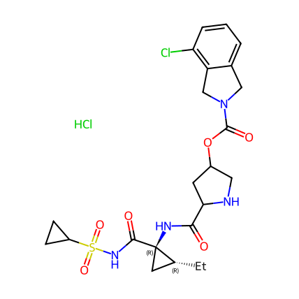 CC[C@@H]1C[C@]1(NC(=O)C1CC(OC(=O)N2Cc3cccc(Cl)c3C2)CN1)C(=O)NS(=O)(=O)C1CC1.Cl